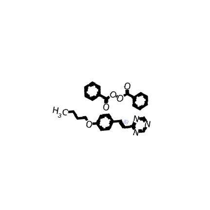 CCCCOc1ccc(/C=C/c2ncncn2)cc1.O=C(OOC(=O)c1ccccc1)c1ccccc1